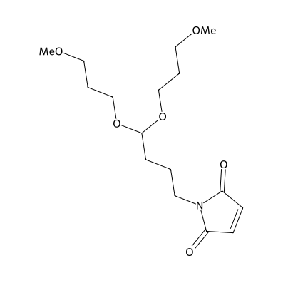 COCCCOC(CCCN1C(=O)C=CC1=O)OCCCOC